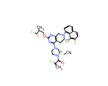 C=C(F)C(=O)N1CCN(c2nc(OCC(C)C(F)F)nc3c2CCN(c2cccc4ccc(F)c(Cl)c24)C3)C[C@@H]1CC#N